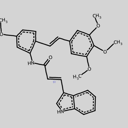 COc1ccc(C=Cc2cc(OC)c(OC)c(OC)c2)c(NC(=O)/C=C/c2c[nH]c3ccccc23)c1